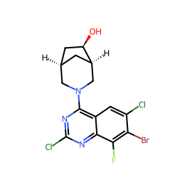 O[C@@H]1C[C@H]2C[C@@H]1CN(c1nc(Cl)nc3c(F)c(Br)c(Cl)cc13)C2